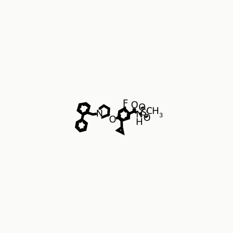 CS(=O)(=O)NC(=O)c1cc(C2CC2)c(OC2CCCN(Cc3ccccc3-c3ccccc3)C2)cc1F